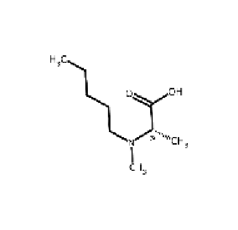 CCCCCN(C)[C@@H](C)C(=O)O